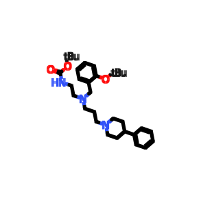 CC(C)(C)OC(=O)NCCN(CCCN1CCC(c2ccccc2)CC1)Cc1ccccc1OC(C)(C)C